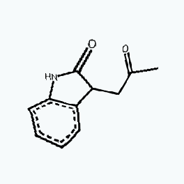 CC(=O)CC1C(=O)Nc2ccccc21